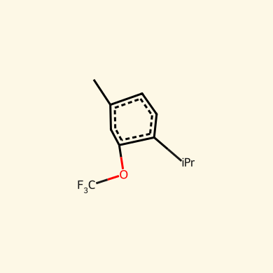 Cc1ccc(C(C)C)c(OC(F)(F)F)c1